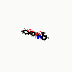 CC(O)c1ccccc1NCCOc1ccc2c3c(oc2c1)CCCC3